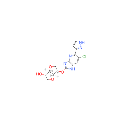 OC1CO[C@H]2[C@@H]1OC[C@H]2Oc1nc2nc(-c3cc[nH]n3)c(Cl)cc2[nH]1